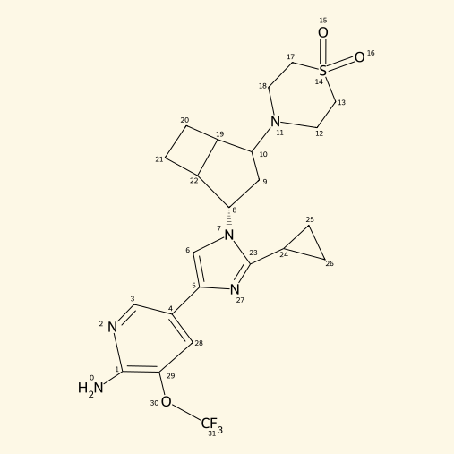 Nc1ncc(-c2cn([C@H]3CC(N4CCS(=O)(=O)CC4)C4CCC43)c(C3CC3)n2)cc1OC(F)(F)F